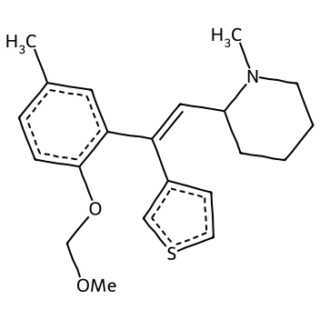 COCOc1ccc(C)cc1C(=CC1CCCCN1C)c1ccsc1